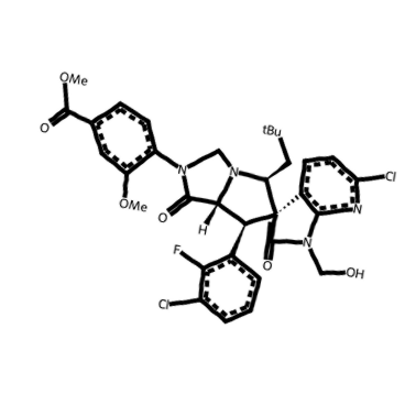 COC(=O)c1ccc(N2CN3[C@@H](CC(C)(C)C)[C@@]4(C(=O)N(CO)c5nc(Cl)ccc54)[C@@H](c4cccc(Cl)c4F)[C@@H]3C2=O)c(OC)c1